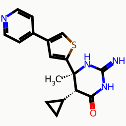 C[C@]1(c2cc(-c3ccncc3)cs2)NC(=N)NC(=O)[C@@H]1C1CC1